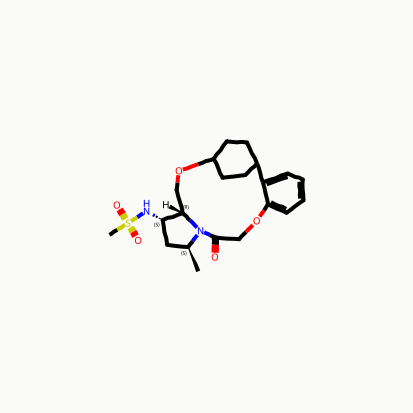 C[C@H]1C[C@H](NS(C)(=O)=O)[C@@H]2COC3CCC(CC3)c3ccccc3OCC(=O)N12